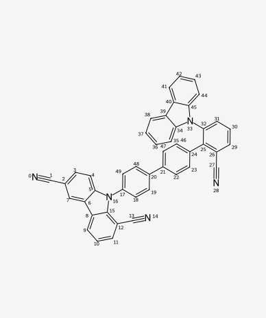 N#Cc1ccc2c(c1)c1cccc(C#N)c1n2-c1ccc(-c2ccc(-c3c(C#N)cccc3-n3c4ccccc4c4ccccc43)cc2)cc1